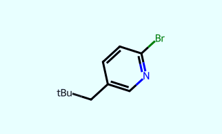 CC(C)(C)Cc1ccc(Br)nc1